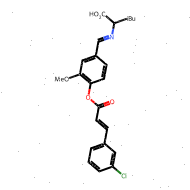 CCC(C)C(/N=C/c1ccc(OC(=O)/C=C/c2cccc(Cl)c2)c(OC)c1)C(=O)O